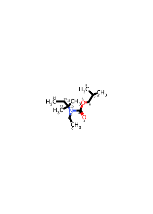 CCN(C(=O)OCC(C)C)C(C)(C)CC